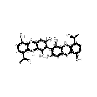 CC(=O)c1ccc(O)c2nc3cc(O)c(-c4c(O)cc5nc6c(O)ccc(C(C)=O)c6nc5c4O)c(O)c3nc12